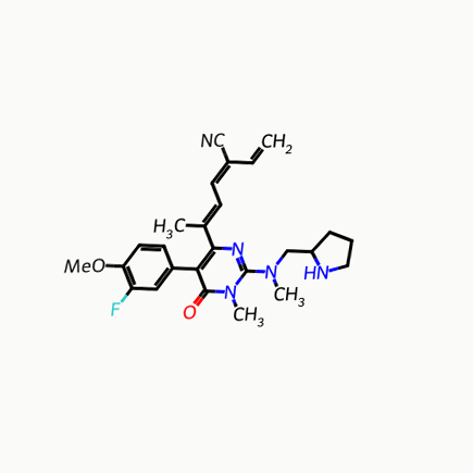 C=C/C(C#N)=C\C=C(/C)c1nc(N(C)CC2CCCN2)n(C)c(=O)c1-c1ccc(OC)c(F)c1